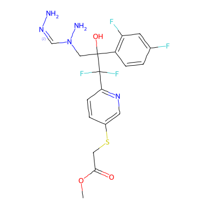 COC(=O)CSc1ccc(C(F)(F)C(O)(CN(N)/C=N\N)c2ccc(F)cc2F)nc1